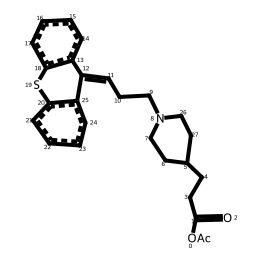 CC(=O)OC(=O)CCC1CCN(CCC=C2c3ccccc3Sc3ccccc32)CC1